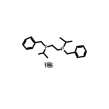 Br.Br.CC(C)P(CCP(Cc1ccccc1)C(C)C)Cc1ccccc1